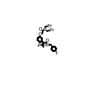 Cc1c(C(=O)NCc2ccc(F)cc2)c2cc(OCC(=O)N(CC(C)C)CC(C)C)ccc2n1C